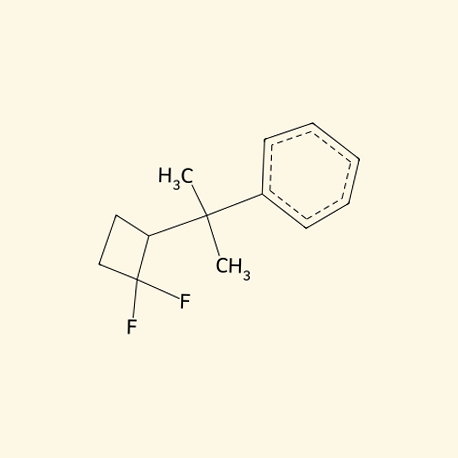 CC(C)(c1ccccc1)C1CCC1(F)F